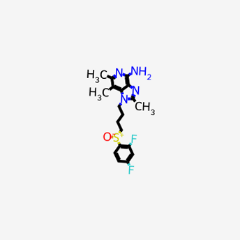 Cc1nc(N)c2nc(C)n(CCCC[S+]([O-])c3ccc(F)cc3F)c2c1C